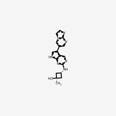 C[C@]1(O)C[C@H](Nc2ncc3c(-c4cnc5nccn5c4)c[nH]c3n2)C1